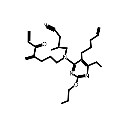 C=CCCCc1c(CC)nc(OCCC)nc1N(CCCC(=C)C(=O)C=C)CC(C)CC#N